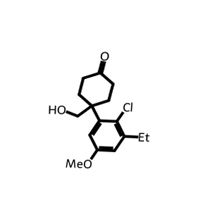 CCc1cc(OC)cc(C2(CO)CCC(=O)CC2)c1Cl